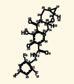 O=C(NCc1c(F)cc(F)cc1F)c1cn2c(c(O)c1=O)C(=O)N1CCC3C[C@H]3O[C@@H]1C2